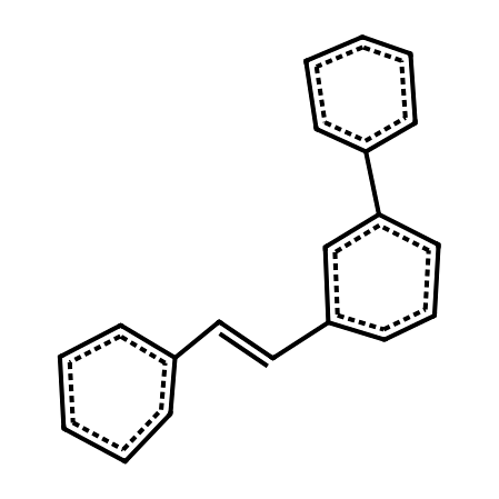 C(=Cc1cccc(-c2ccccc2)c1)c1ccccc1